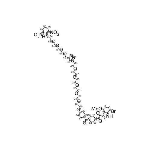 COc1ccc(Br)c2[nH]cc(C(=O)C(=O)N3CCN(C(=O)c4ccc(OCCOCCOCCOCCOCCOCCn5cc(COCOCOCOCCNc6c([N+](=O)[O-])cccc6[N+](=O)[O-])nn5)cc4)CC3)c12